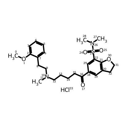 COc1ccccc1CCN(C)CCCCC(=O)c1cc2c(c(S(=O)(=O)N(C)C)c1)OCC2.Cl